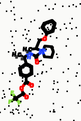 CC(COc1ccccc1)[N+]1(C(=O)N[C@@H](C)c2ccc(C(=O)OC(=O)C(F)(F)F)cc2)CCCCC1